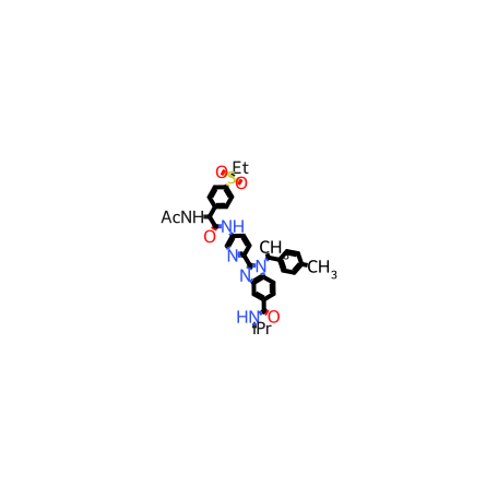 CCS(=O)(=O)c1ccc(C(NC(C)=O)C(=O)Nc2ccc(-c3nc4cc(C(=O)NC(C)C)ccc4n3C(C)c3ccc(C)cc3)nc2)cc1